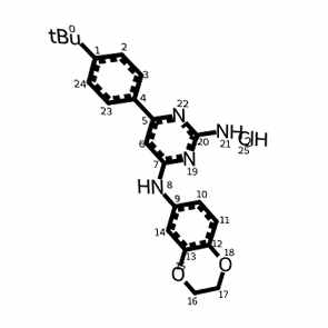 CC(C)(C)c1ccc(-c2cc(Nc3ccc4c(c3)OCCO4)nc(N)n2)cc1.Cl